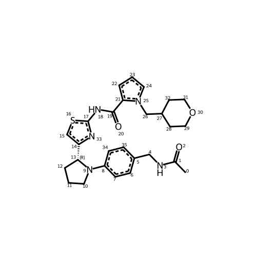 CC(=O)NCc1ccc(N2CCC[C@@H]2c2csc(NC(=O)c3cccn3CC3CCOCC3)n2)cc1